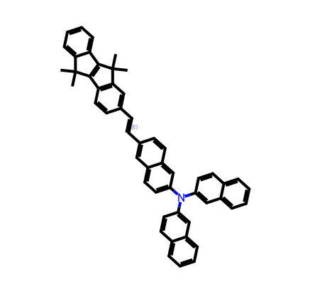 CC1(C)C2=C(c3ccccc31)C(C)(C)c1cc(/C=C/c3ccc4cc(N(c5ccc6ccccc6c5)c5ccc6ccccc6c5)ccc4c3)ccc12